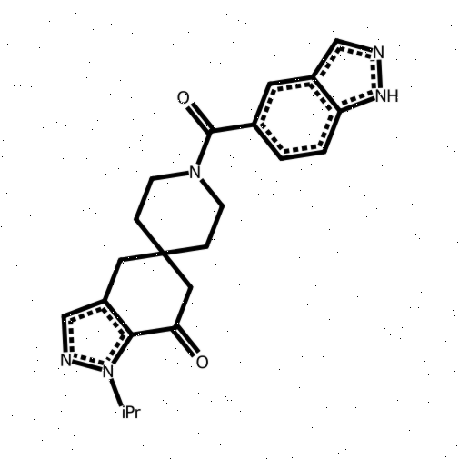 CC(C)n1ncc2c1C(=O)CC1(CCN(C(=O)c3ccc4[nH]ncc4c3)CC1)C2